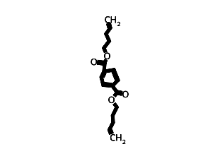 C=CCCCOC(=O)c1ccc(C(=O)OCCCC=C)cc1